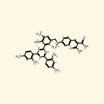 Cc1ccc(-c2nc(-c3ccc(C)cc3C)nc(-c3cc(CN(C)c4ccc(C=C(C(=O)O)C(=O)O)cc4)cc(C)c3O)n2)c(C)c1